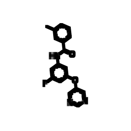 Cc1cccc(C(=O)Nc2cc(F)cc(Oc3cncnc3)c2)c1